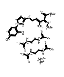 CNC(=O)C(=N/OC)/C(C)=C/COc1ccn(-c2ccc(Cl)cc2Cl)n1.S=C([S-])NCCNC(=S)[S-].S=C([S-])NCCNC(=S)[S-].[Mn+2].[Zn+2]